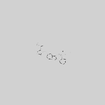 CCNC(=O)c1c(C)nc(CC)n1Cc1ccc2oc(-c3ccccc3NS(=O)(=O)C(F)(F)F)c(Br)c2c1